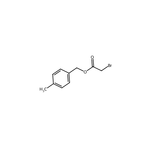 Cc1ccc(COC(=O)CBr)cc1